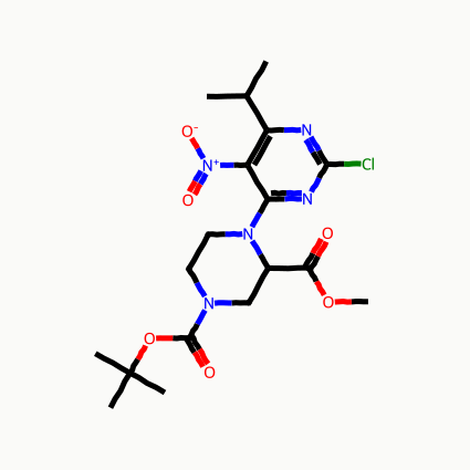 COC(=O)C1CN(C(=O)OC(C)(C)C)CCN1c1nc(Cl)nc(C(C)C)c1[N+](=O)[O-]